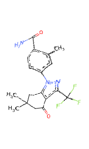 Cc1cc(-n2nc(C(F)(F)F)c3c2CC(C)(C)CC3=O)ccc1C(N)=O